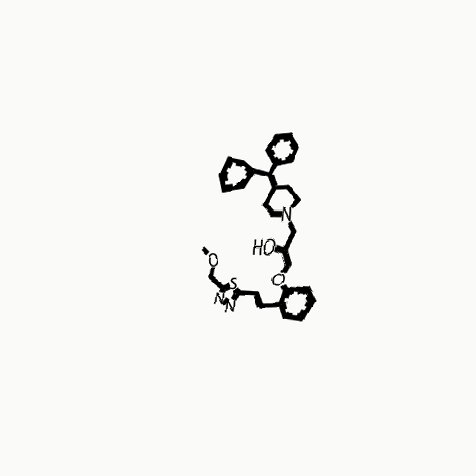 COCc1nnc(C=Cc2ccccc2OCC(O)CN2CCC(=C(c3ccccc3)c3ccccc3)CC2)s1